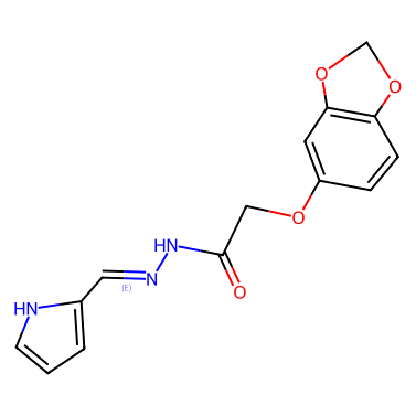 O=C(COc1ccc2c(c1)OCO2)N/N=C/c1ccc[nH]1